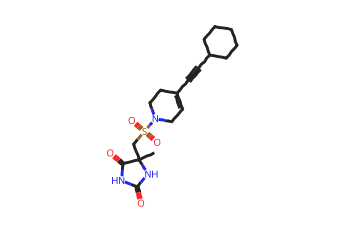 CC1(CS(=O)(=O)N2CC=C(C#CC3CCCCC3)CC2)NC(=O)NC1=O